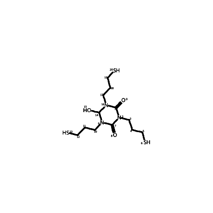 O=C1N(CCCS)C(=O)N(CCCS)C(O)N1CCCS